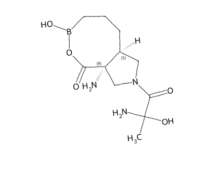 CC(N)(O)C(=O)N1C[C@@H]2CCCB(O)OC(=O)[C@]2(N)C1